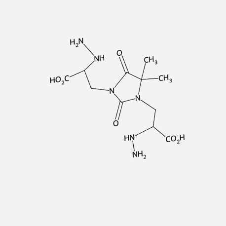 CC1(C)C(=O)N(CC(NN)C(=O)O)C(=O)N1CC(NN)C(=O)O